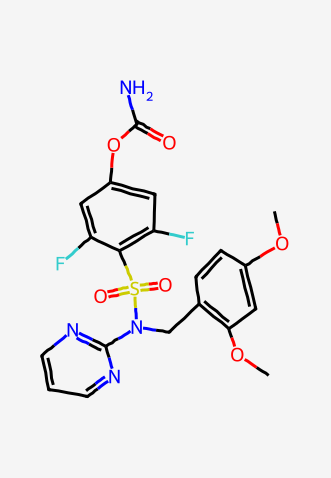 COc1ccc(CN(c2ncccn2)S(=O)(=O)c2c(F)cc(OC(N)=O)cc2F)c(OC)c1